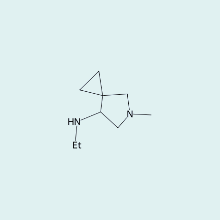 CCNC1CN(C)CC12CC2